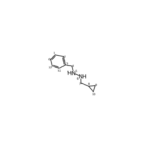 c1ccc(CNNCC2CC2)cc1